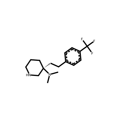 CN(C)[C@]1(CCc2ccc(C(F)(F)F)cc2)CCCNC1